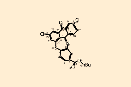 CCCCOC(=O)c1ccc2c(c1)N=C(c1ccc(Cl)cc1)c1c(cc(Cl)cc1C(N)=O)S2